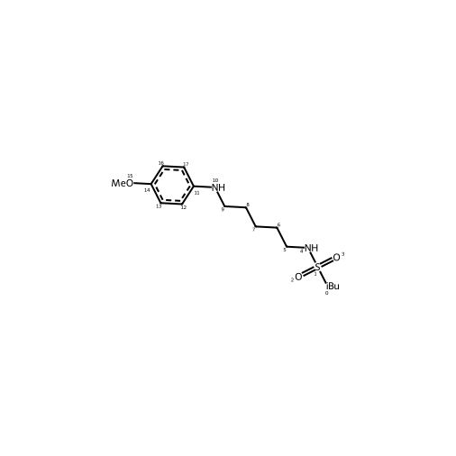 CCC(C)S(=O)(=O)NCCCCCNc1ccc(OC)cc1